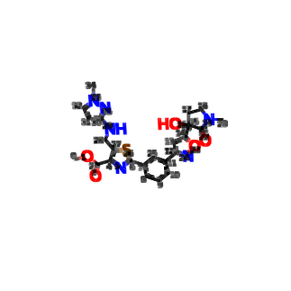 COC(=O)c1nc(-c2cccc(-c3cc([C@]4(O)CCN(C)C4=O)on3)c2)sc1CNc1ccn(C)n1